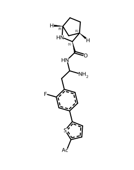 CC(=O)c1ccc(-c2ccc(CC(N)NC(=O)[C@H]3N[C@@H]4CC[C@H]3C4)c(F)c2)s1